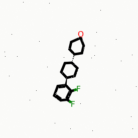 O=C1CCC([C@H]2CC[C@H](c3cccc(F)c3F)CC2)CC1